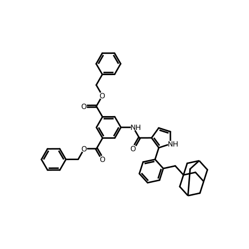 O=C(OCc1ccccc1)c1cc(NC(=O)c2cc[nH]c2-c2ccccc2CC23CC4CC(CC(C4)C2)C3)cc(C(=O)OCc2ccccc2)c1